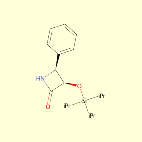 CC(C)[Si](O[C@H]1C(=O)N[C@H]1c1ccccc1)(C(C)C)C(C)C